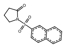 O=C1CCCN1S(=O)(=O)c1ccc2ccccc2c1